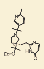 CCOC(C)(C)[C@@]1(CCc2nccc(=O)[nH]2)CCN(C(C)(C)c2ccc(C)nc2)C1